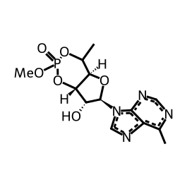 COP1(=O)OC(C)[C@H]2O[C@@H](n3cnc4c(C)ncnc43)[C@H](O)[C@@H]2O1